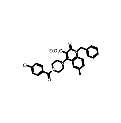 CCOC(=O)c1c(N2CCN(C(=O)c3ccc(Cl)cc3)CC2)c2cc(C)ccc2n(Cc2ccccc2)c1=O